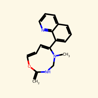 C=C1NCN(C)/C(c2cccc3cccnc23)=C\C=C\O1